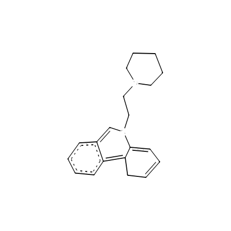 C1=CCC2=c3ccccc3=CN(CCN3CCCCC3)C2=C1